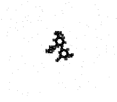 Cl.Nc1ccc(-c2cc(F)cc(F)c2)c(O)c1